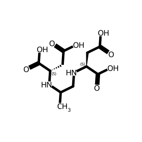 CC(CN[C@@H](CC(=O)O)C(=O)O)N[C@@H](CC(=O)O)C(=O)O